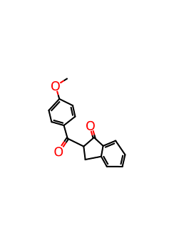 COc1ccc(C(=O)C2Cc3ccccc3C2=O)cc1